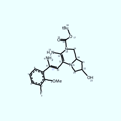 COc1c(F)cccc1/C(N)=C/C1=C(N)N(C(=O)OC(C)(C)C)CC2CC(O)CN12